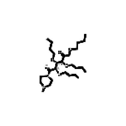 CCCCOCC(=O)[C@@H](OCCCC)[C@H](OCCCC)[C@@H](OCCCC)C(=O)N1CCN(C)CC1